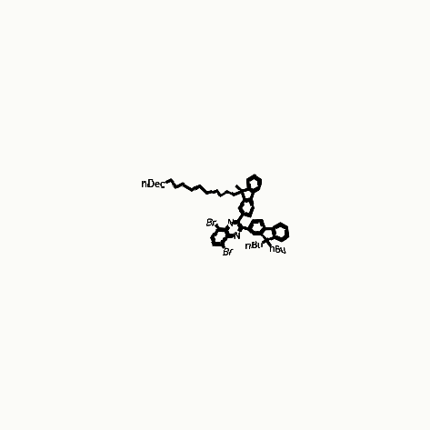 CCCCCCCCCCCCCCCCCCCCC1(C)c2ccccc2-c2ccc(-c3nc4c(Br)ccc(Br)c4nc3-c3ccc4c(c3)C(CCCC)(CCCC)c3ccccc3-4)cc21